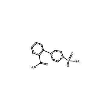 NC(=O)c1ncccc1-c1ccc(S(N)(=O)=O)cc1